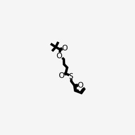 CC(C)(C)C(=O)OCCCC(=O)SCc1ccco1